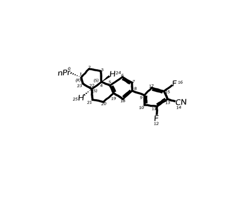 CCC[C@@H]1CC[C@@H]2c3ccc(-c4cc(F)c(C#N)c(F)c4)cc3CC[C@H]2C1